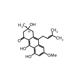 COc1cc(O)c2c(O)c3c(c(CC=C(C)C)c2c1)C[C@@](C)(O)CC3=O